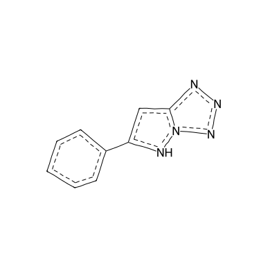 c1ccc(-c2cc3nnnn3[nH]2)cc1